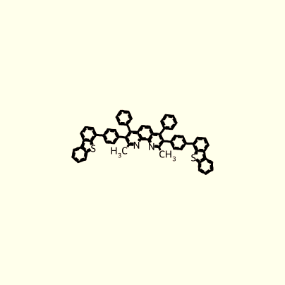 Cc1nc2c(ccc3c(-c4ccccc4)c(-c4ccc(-c5cccc6c5sc5ccccc56)cc4)c(C)nc32)c(-c2ccccc2)c1-c1ccc(-c2cccc3c2sc2ccccc23)cc1